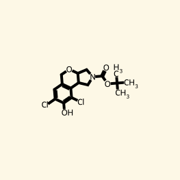 CC(C)(C)OC(=O)N1CC2OCc3cc(Cl)c(O)c(Cl)c3C2C1